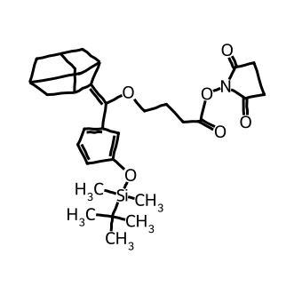 CC(C)(C)[Si](C)(C)Oc1cccc(C(OCCCC(=O)ON2C(=O)CCC2=O)=C2C3CC4CC(C3)CC2C4)c1